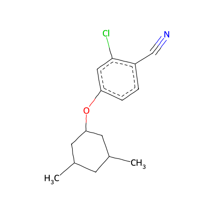 CC1CC(C)CC(Oc2ccc(C#N)c(Cl)c2)C1